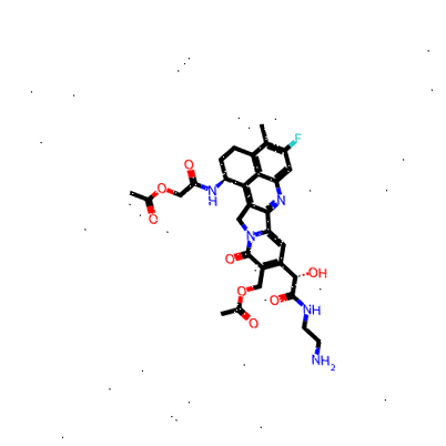 CC(=O)OCC(=O)N[C@H]1CCc2c(C)c(F)cc3nc4c(c1c23)Cn1c-4cc([C@H](O)C(=O)NCCN)c(COC(C)=O)c1=O